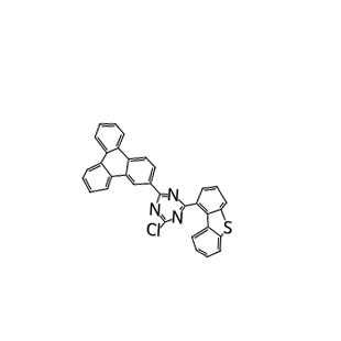 Clc1nc(-c2ccc3c4ccccc4c4ccccc4c3c2)nc(-c2cccc3sc4ccccc4c23)n1